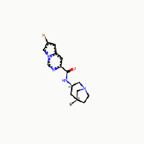 O=C(N[C@@H]1C[C@H]2CCN(C2)C1)c1cc2cc(Br)cn2cn1